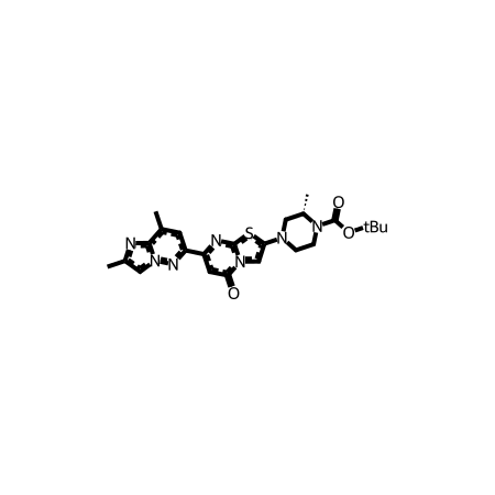 Cc1cn2nc(-c3cc(=O)n4cc(N5CCN(C(=O)OC(C)(C)C)[C@@H](C)C5)sc4n3)cc(C)c2n1